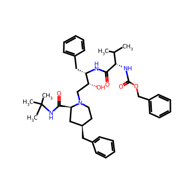 CC(C)[C@H](NC(=O)OCc1ccccc1)C(=O)N[C@@H](Cc1ccccc1)[C@H](O)CN1CC[C@@H](Cc2ccccc2)C[C@H]1C(=O)NC(C)(C)C